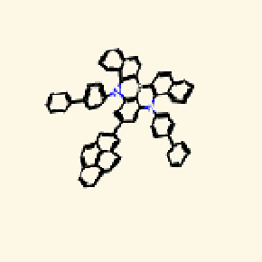 c1ccc(-c2ccc(N3c4cc(-c5cc6ccc7cccc8ccc(c5)c6c78)cc5c4B(c4ccc6ccccc6c43)c3ccc4ccccc4c3N5c3ccc(-c4ccccc4)cc3)cc2)cc1